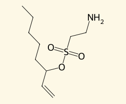 C=CC(CCCCC)OS(=O)(=O)CCN